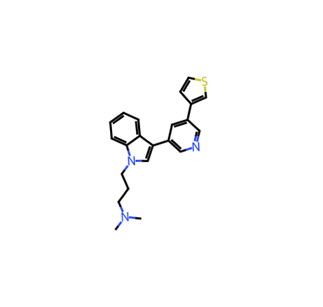 CN(C)CCCn1cc(-c2cncc(-c3ccsc3)c2)c2ccccc21